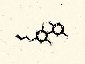 C=CCOc1cc(F)c(-c2cc(F)c[c]c2Cl)c(F)c1